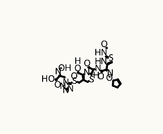 O=CNc1nc(/C(=N/OC2C=CCC2)C(=O)NC2C(=O)N3C(C(=O)O)=C(CSc4nnnn4C/C(=N\O)C(=O)O)CS[C@H]23)cs1